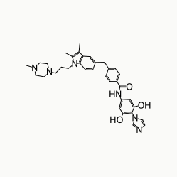 Cc1c(C)n(CCCN2CCN(C)CC2)c2ccc(Cc3ccc(C(=O)Nc4cc(O)c(-n5ccnc5)c(O)c4)cc3)cc12